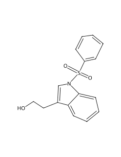 O=S(=O)(c1ccccc1)n1cc(CCO)c2ccccc21